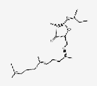 CCC(C)OC1=C(C)C(=O)C(C/C=C(\C)CC/C=C(\C)CCC=C(C)C)O1